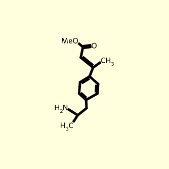 COC(=O)C=C(C)c1ccc(CC(C)N)cc1